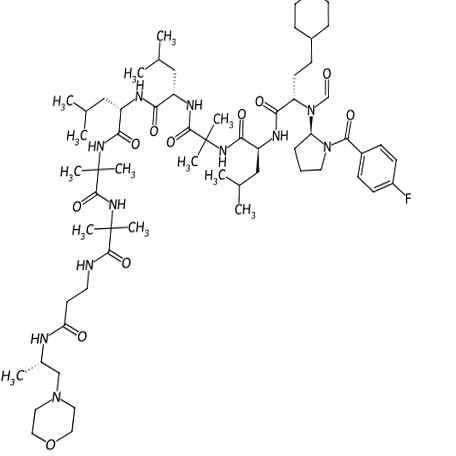 CC(C)C[C@H](NC(=O)[C@H](CC(C)C)NC(=O)C(C)(C)NC(=O)[C@H](CC(C)C)NC(=O)[C@H](CCC1CCCCC1)N(C=O)[C@@H]1CCCN1C(=O)c1ccc(F)cc1)C(=O)NC(C)(C)C(=O)NC(C)(C)C(=O)NCCC(=O)N[C@@H](C)CN1CCOCC1